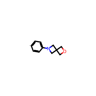 [c]1ccc(N2CC3(COC3)C2)cc1